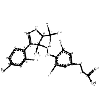 CC1(COc2c(F)cc(CCC(=O)O)cc2F)C(c2ccc(Cl)cc2F)=NSC1C(F)(F)F